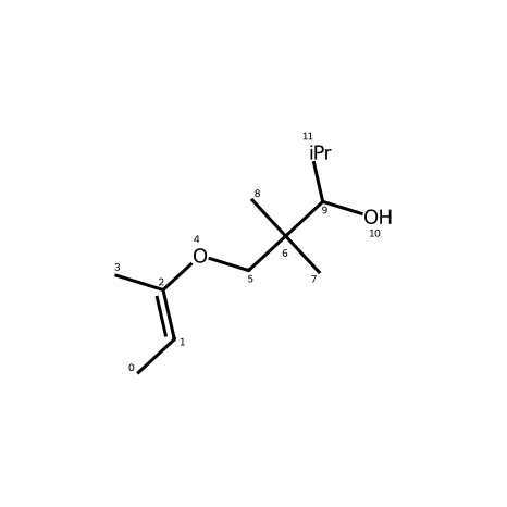 CC=C(C)OCC(C)(C)C(O)C(C)C